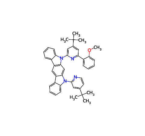 COc1ccccc1-c1cc(C(C)(C)C)cc(-n2c3ccccc3c3cc4c5ccccc5n(-c5cc(C(C)(C)C)ccn5)c4cc32)n1